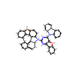 C1=CC2c3ccccc3N(c3nc(N4c5ccc6sc7cccc8c7c6c5C5=c6c-8cccc6=CCC54)nc4c3oc3ccccc34)C2C=C1